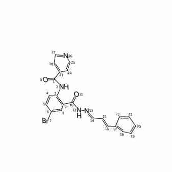 O=C(Nc1ccc(Br)cc1C(=O)NN=CC=Cc1ccccc1)c1ccncc1